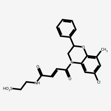 Cc1cc(Cl)cc2c1OC(c1ccccc1)CN2C(=O)/C=C/C(=O)NCCS(=O)(=O)O